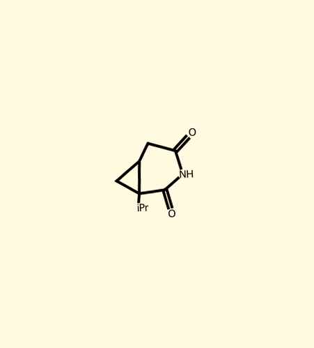 CC(C)C12CC1CC(=O)NC2=O